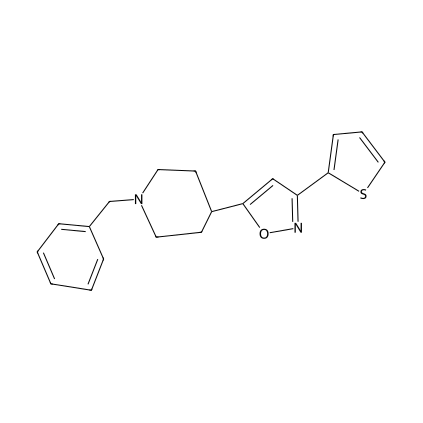 c1ccc(CN2CCC(c3cc(-c4cccs4)no3)CC2)cc1